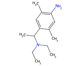 CCN(CC)C(C)c1cc(C)c(N)cc1C